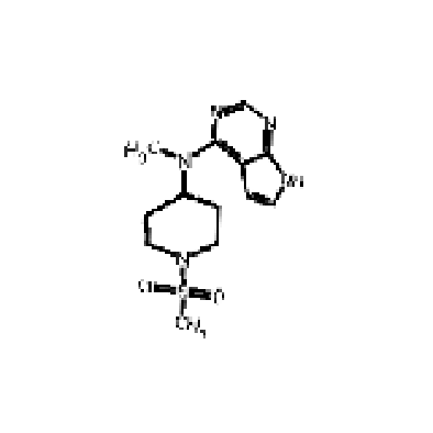 CN(c1ncnc2[nH]ccc12)C1CCN(S(C)(=O)=O)CC1